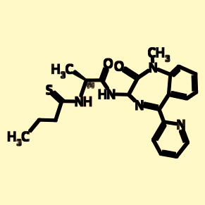 CCCC(=S)N[C@@H](C)C(=O)NC1N=C(c2ccccn2)c2ccccc2N(C)C1=O